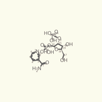 NC(=O)c1cccnc1.O=P(O)(O)OC1O[C@H](CO)[C@@H](O)[C@H]1OP(=O)(O)O